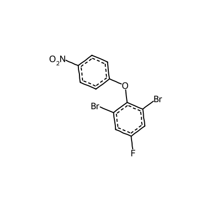 O=[N+]([O-])c1ccc(Oc2c(Br)cc(F)cc2Br)cc1